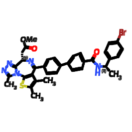 COC(=O)C[C@@H]1N=C(c2ccc(-c3ccc(C(=O)N[C@H](C)c4ccc(Br)cc4)cc3)cc2)c2c(sc(C)c2C)-n2c(C)nnc21